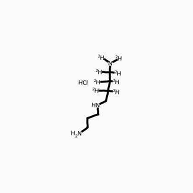 Cl.[2H]N([2H])C([2H])([2H])C([2H])([2H])C([2H])([2H])CNCCCN